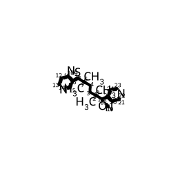 CC(C)(CCC(C)(C)c1snc2ccncc12)c1onc2cnccc12